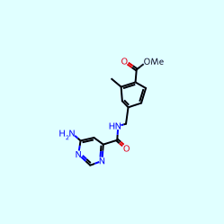 COC(=O)c1ccc(CNC(=O)c2cc(N)ncn2)cc1C